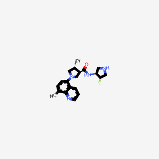 CC(C)[C@H]1CN(c2ccc(C#N)c3ncccc23)C[C@@H]1C(=O)N[C@H]1CNC[C@H]1F